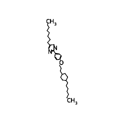 CCCCCCCCc1cnc(-c2ccc(OCCCC3CCC(CCCCCCC)CC3)cc2)nc1